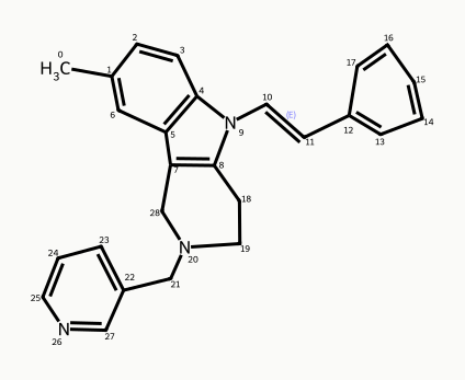 Cc1ccc2c(c1)c1c(n2/C=C/c2ccccc2)CCN(Cc2cccnc2)C1